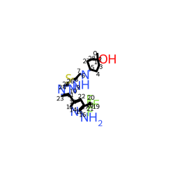 CC1(O)CCC(NCc2nn3c(-c4cnc(N)c(C(F)(F)F)c4)cnc3s2)CC1